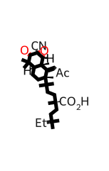 CCC(C)(C)CC[C@@](C)(CCC(C)(C)[C@]1(C)CC[C@H]2C(C)(C)C(=O)[C@]3(C#N)O[C@@H]3[C@]2(C)/C1=C/C(C)=O)C(=O)O